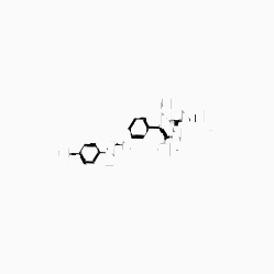 Cc1nc(N)[nH]c1-c1cccc(NC(=O)Nc2ccc(Cl)cc2)c1